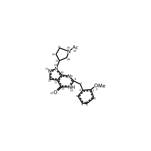 COc1ccccc1Cc1nc2c(cnn2C2CCN(C(C)=O)C2)c(=O)[nH]1